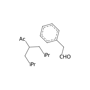 CC(=O)C(CC(C)C)CC(C)C.O=CCc1ccccc1